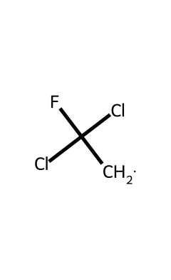 [CH2]C(F)(Cl)Cl